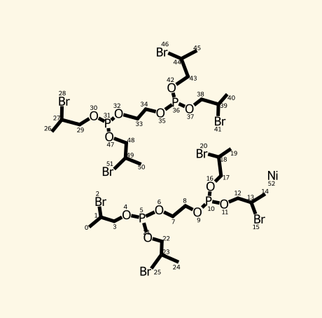 CC(Br)COP(OCCOP(OCC(C)Br)OCC(C)Br)OCC(C)Br.CC(Br)COP(OCCOP(OCC(C)Br)OCC(C)Br)OCC(C)Br.[Ni]